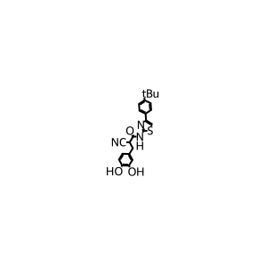 CC(C)(C)c1ccc(-c2csc(NC(=O)C(C#N)Cc3ccc(O)c(O)c3)n2)cc1